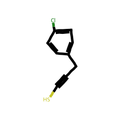 SC#CCc1ccc(Cl)cc1